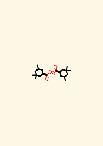 CC1CC(C(=O)OOC(=O)C2CC(C)CC(C)(C)C2)CC(C)(C)C1